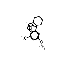 FC(F)(F)Oc1cc(C(F)(F)F)c2c(c1)[C@]13CCCC[C@@H]1[C@H](C2)NCC3